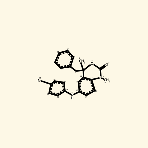 CN1C(=O)OC(C)(Cc2ccccc2)c2cc(Nc3ccc(Br)cc3)ccc21